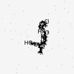 O=C(NCc1ncn2ccc(Cl)c(F)c12)c1cn(Cc2cn3cc(C4CC4)cc(COCCO)c3n2)nn1